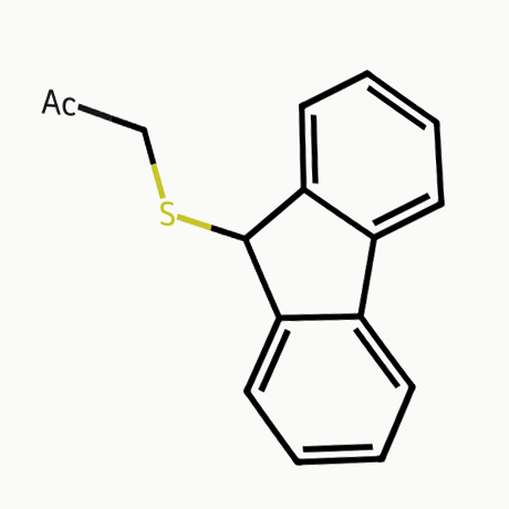 CC(=O)CSC1c2ccccc2-c2ccccc21